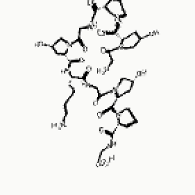 NCCCC[C@H](NC(=O)[C@@H]1C[C@@H](O)CN1C(=O)CNC(=O)[C@@H]1CCCN1C(=O)[C@@H]1C[C@@H](O)CN1C(=O)CN)C(=O)NCC(=O)N1C[C@H](O)C[C@H]1C(=O)N1CCC[C@H]1C(=O)NCC(=O)O